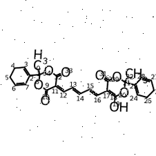 CC1(C2=CCCC=C2)OC(=O)C(=C/C=C/C=C/C2=C(O)OC(C)(C3=CCCC=C3)OC2=O)C(=O)O1